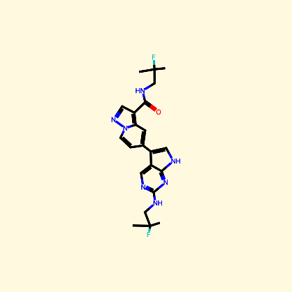 CC(C)(F)CNC(=O)c1cnn2ccc(-c3c[nH]c4nc(NCC(C)(C)F)ncc34)cc12